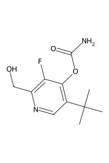 CC(C)(C)c1cnc(CO)c(F)c1OC(N)=O